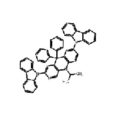 CC(C)N1c2ccc(-n3c4ccccc4c4ccccc43)cc2C(c2ccccc2)(c2ccccc2)c2cc(-n3c4ccccc4c4ccccc43)ncc21